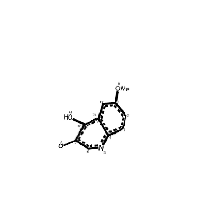 COc1ccc2ncc(Cl)c(O)c2c1